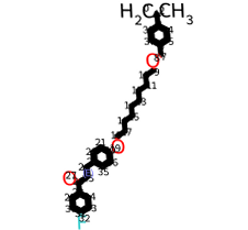 C=C(C)c1ccc(COCCCCCCCCCCOc2ccc(/C=C/C(=O)c3ccc(F)cc3)cc2)cc1